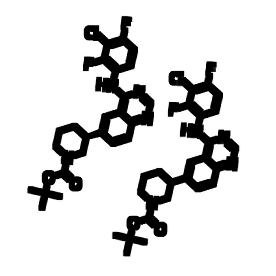 CC(C)(C)OC(=O)N1CCCC(c2ccc3ncnc(Nc4ccc(F)c(Cl)c4F)c3c2)C1.CC(C)(C)OC(=O)N1CCC[C@@H](c2ccc3ncnc(Nc4ccc(F)c(Cl)c4F)c3c2)C1